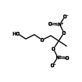 CC(COCCO)(O[N+](=O)[O-])O[N+](=O)[O-]